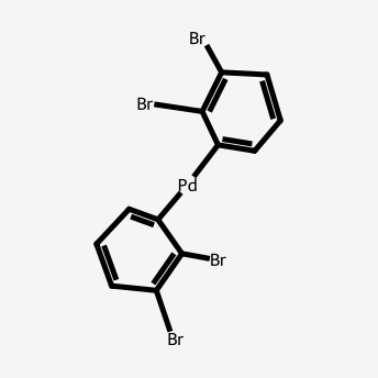 Brc1ccc[c]([Pd][c]2cccc(Br)c2Br)c1Br